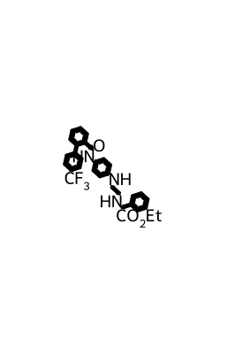 CCOC(=O)C(NCCNc1ccc(NC(=O)c2ccccc2-c2ccc(C(F)(F)F)cc2)cc1)c1ccccc1